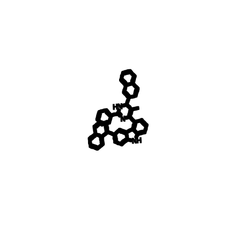 CC1=C(c2cccc3[nH]c4ccc(-c5cccc6ccccc56)cc4c23)N=C(c2ccccc2)NC1c1ccc2ccccc2c1